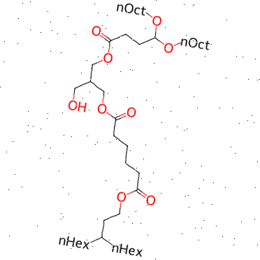 CCCCCCCCOC(CCC(=O)OCC(CO)COC(=O)CCCCC(=O)OCCC(CCCCCC)CCCCCC)OCCCCCCCC